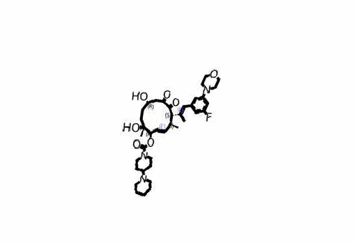 C/C(=C\c1cc(F)cc(N2CCOCC2)c1)[C@H]1C(=O)C(=O)C[C@H](O)CC[C@@](C)(O)[C@H](OC(=O)N2CCC(N3CCCCC3)CC2)/C=C/[C@@H]1C